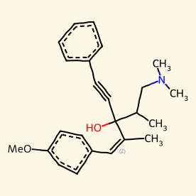 COc1ccc(/C=C(/C)C(O)(C#Cc2ccccc2)C(C)CN(C)C)cc1